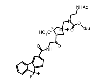 CC(=O)NCCN(C[C@@]1(F)C[C@@H](C(=O)O)N(C(=O)CNC(=O)c2ccc3c(c2)-c2ccccc2C3(F)F)C1)C(=O)OC(C)(C)C